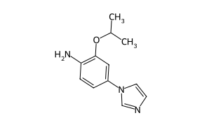 CC(C)Oc1cc(-n2ccnc2)ccc1N